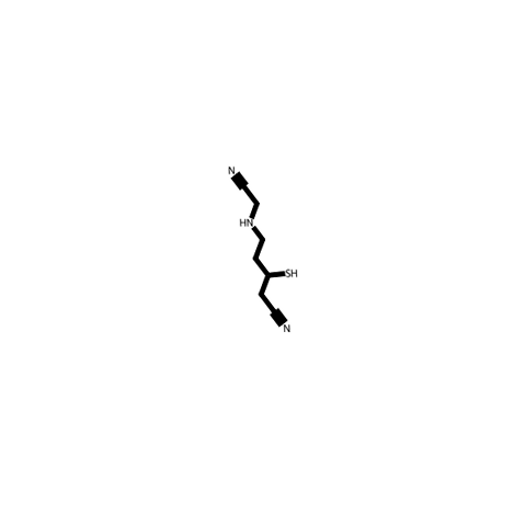 N#CCNCCC(S)CC#N